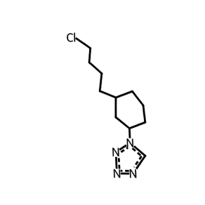 ClCCCCC1CCCC(n2cnnn2)C1